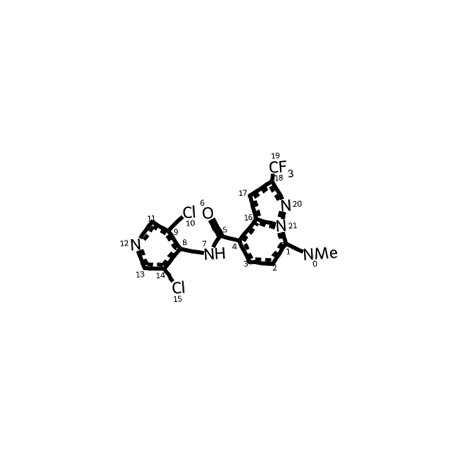 CNc1ccc(C(=O)Nc2c(Cl)cncc2Cl)c2cc(C(F)(F)F)nn12